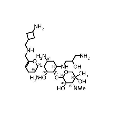 CN[C@@H]1[C@@H](O)[C@@H](O[C@H]2[C@H](NCC(O)CN)C[C@H](N)C([C@H]3OC(CNCC4CC(N)C4)=CC[C@H]3N)[C@@H]2O)OC[C@]1(C)O